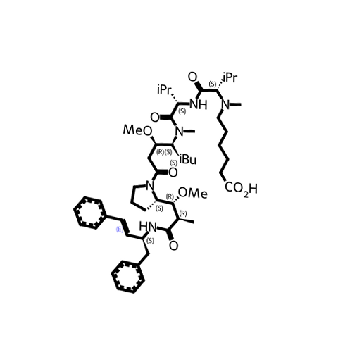 CC[C@H](C)[C@@H]([C@@H](CC(=O)N1CCC[C@H]1[C@H](OC)[C@@H](C)C(=O)N[C@H](/C=C/c1ccccc1)Cc1ccccc1)OC)N(C)C(=O)[C@@H](NC(=O)[C@H](C(C)C)N(C)CCCCCC(=O)O)C(C)C